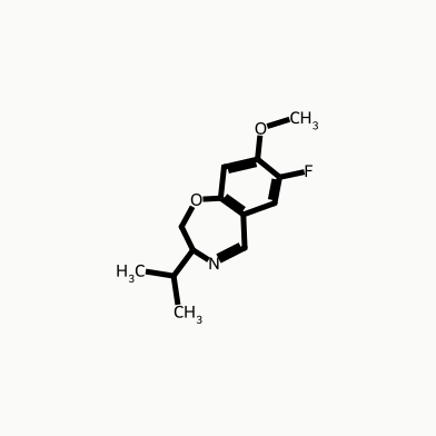 COc1cc2c(cc1F)C=NC(C(C)C)CO2